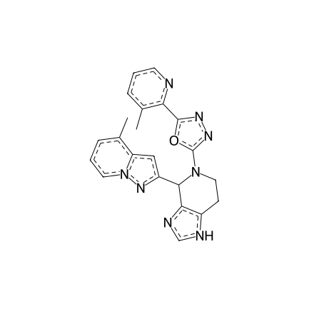 Cc1cccnc1-c1nnc(N2CCc3[nH]cnc3C2c2cc3c(C)cccn3n2)o1